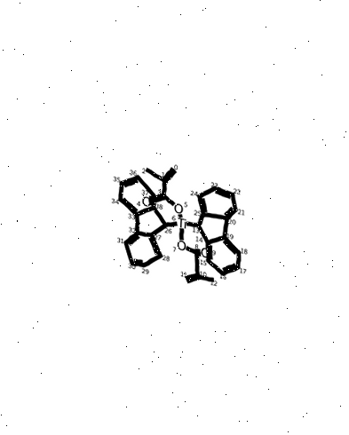 C=C(C)C(=O)[O][Ti]([O]C(=O)C(=C)C)([CH]1c2ccccc2-c2ccccc21)[CH]1c2ccccc2-c2ccccc21